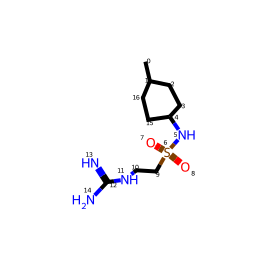 CC1CCC(NS(=O)(=O)CCNC(=N)N)CC1